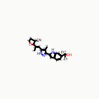 CCC(O)(CC)c1ccc2cc(-c3n[nH]c(/C=C(\C)C4OCCC4C#N)c3C)[nH]c2c1